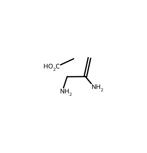 C=C(N)CN.CC(=O)O